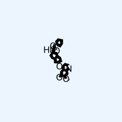 COc1cc2nccc(Oc3ccc4cc(NS(=O)(=O)c5ccccc5)ccc4c3)c2cc1OC